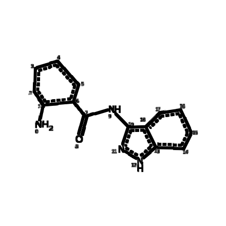 Nc1ccccc1C(=O)Nc1n[nH]c2ccccc12